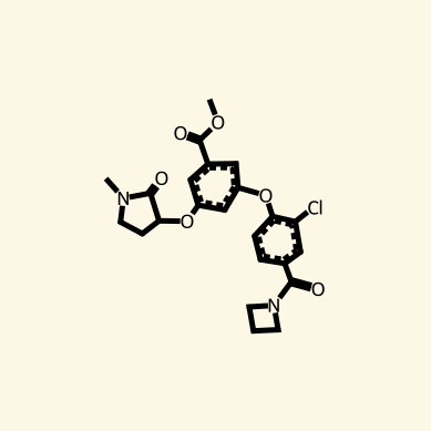 COC(=O)c1cc(Oc2ccc(C(=O)N3CCC3)cc2Cl)cc(OC2CCN(C)C2=O)c1